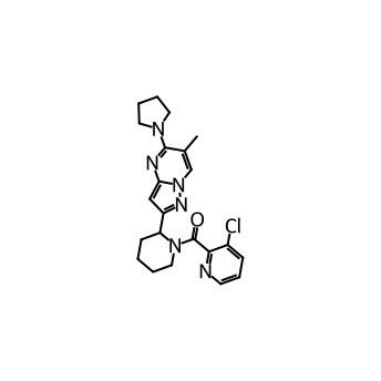 Cc1cn2nc(C3CCCCN3C(=O)c3ncccc3Cl)cc2nc1N1CCCC1